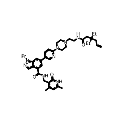 C=CCC(CC)(CC)CC(=O)NCCN1CCN(c2ccc(-c3cc(C(=O)NCc4c(C)cc(C)[nH]c4=O)c4cnn(C(C)C)c4c3)cn2)CC1